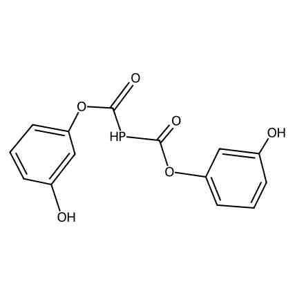 O=C(Oc1cccc(O)c1)PC(=O)Oc1cccc(O)c1